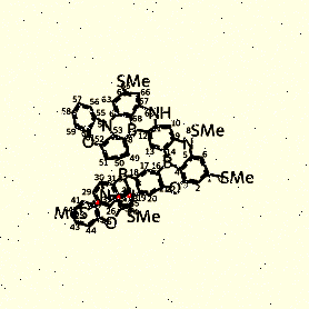 CSc1cc2c3c(c1)N(SC)c1cc4c(cc1B3c1cc3c(cc1O2)N(SC)c1cc(SC)cc2c1B3c1cccc3c1N2c1ccccc1O3)B1c2cccc3c2N(c2ccccc2O3)c2cc(SC)cc(c21)N4